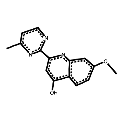 COc1ccc2c(O)cc(-c3nccc(C)n3)nc2c1